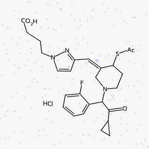 CC(=O)SC1CCN(C(C(=O)C2CC2)c2ccccc2F)C/C1=C\c1ccn(CCCC(=O)O)n1.Cl